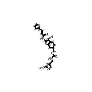 Cc1nnc(CNC(=O)OCC2CCc3c(sc(NC(=O)C=Cc4cccs4)c3C#N)C2)o1